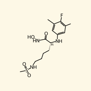 Cc1cc(N[C@H](CCCCNS(C)(=O)=O)C(=O)NO)cc(C)c1F